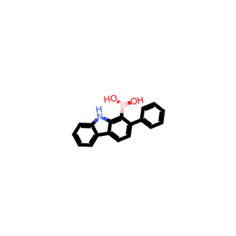 OB(O)c1c(-c2ccccc2)ccc2c1[nH]c1ccccc12